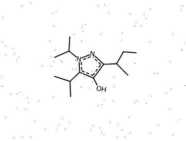 CCC(C)c1nn(C(C)C)c(C(C)C)c1O